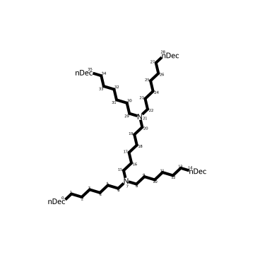 CCCCCCCCCCCCCCCCN(CCCCCCCCCCCCCCCC)CCCCCCN(CCCCCCCCCCCCCCCC)CCCCCCCCCCCCCCCC